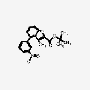 Cc1c(C(=O)OC(C)(C)C)oc2cccc(-c3cccc([N+](=O)[O-])c3)c12